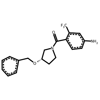 Nc1ccc(C(=O)N2CC[C@H](OCc3ccccc3)C2)c(C(F)(F)F)c1